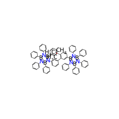 CC(C)(C)c1ccc(B2N(c3ccccc3)B(c3ccccc3)N(c3ccccc3)B(c3ccccc3)N2c2ccccc2)cc1-c1cccc(N2B(c3ccccc3)N(c3ccccc3)B(c3ccccc3)N(c3ccccc3)B2c2ccccc2)c1